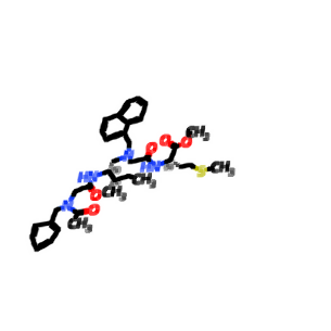 CC[C@H](C)[C@@H](CN(CC(=O)N[C@@H](CCSC)C(=O)OC)Cc1cccc2ccccc12)NC(=O)CN(Cc1ccccc1)C(C)=O